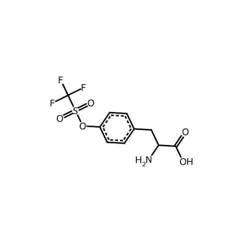 NC(Cc1ccc(OS(=O)(=O)C(F)(F)F)cc1)C(=O)O